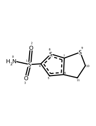 NS(=O)(=O)c1cc2c(s1)SCC2